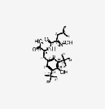 CC(C)CC(=NO)C(=O)NC(Cc1cc(C(C)(C)C)c(O)c(C(C)(C)C)c1)C(=O)O